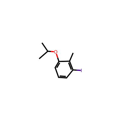 Cc1c(I)cccc1OC(C)C